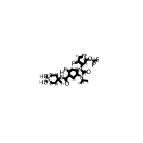 CC(C)n1c(=O)n(-c2cc(OC(F)F)ncc2F)c2cc(F)c(C(=O)NC3(C)CCS(O)(O)CC3)cc21